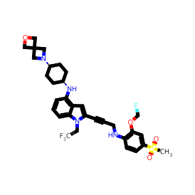 CS(=O)(=O)c1ccc(NCC#Cc2cc3c(N[C@H]4CC[C@@H](N5CC6(COC6)C5)CC4)cccc3n2CC(F)(F)F)c(OCF)c1